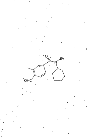 Cc1cc(C(=O)N(C(C)C)C2CCCCC2)ccc1C=O